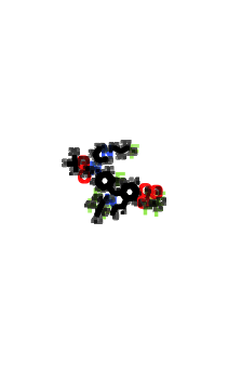 CC1Cc2cc(OS(=O)(=O)C(F)(F)F)ccc2C(c2c(F)cc(N(C(=O)OC(C)(C)C)C3CCN(CCCF)C3)cc2F)N1CC(C)(F)F